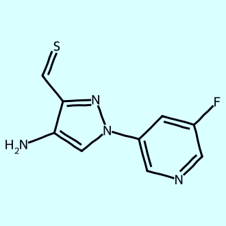 Nc1cn(-c2cncc(F)c2)nc1C=S